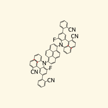 N#Cc1ccccc1-c1cc(F)c(N(c2ccccc2)c2ccc3ccc4c(N(c5ccccc5)c5c(F)cc(-c6ccccc6C#N)cc5-c5ccccc5C#N)ccc5ccc2c3c54)c(-c2ccccc2C#N)c1